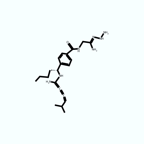 CCCC[C@@H](NC(N)=C=C=CC(C)C)c1ccc(C(=O)NC/C(N)=N/NN)cc1